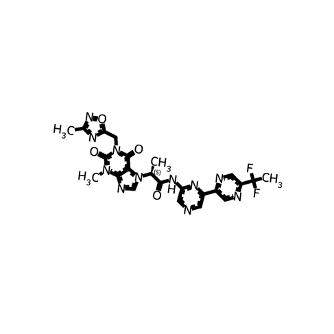 Cc1noc(Cn2c(=O)c3c(ncn3[C@@H](C)C(=O)Nc3cncc(-c4cnc(C(C)(F)F)cn4)n3)n(C)c2=O)n1